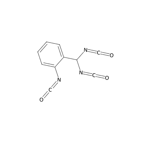 O=C=Nc1ccccc1C(N=C=O)N=C=O